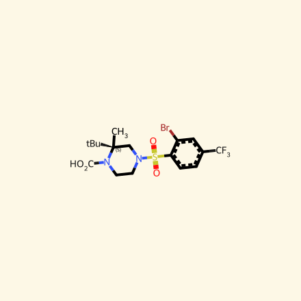 CC(C)(C)[C@@]1(C)CN(S(=O)(=O)c2ccc(C(F)(F)F)cc2Br)CCN1C(=O)O